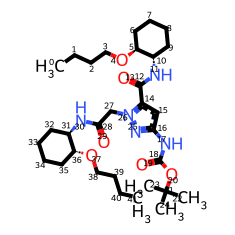 CCCCO[C@H]1CCCC[C@@H]1NC(=O)c1cc(NC(=O)OC(C)(C)C)nn1CC(=O)N[C@@H]1CCCC[C@H]1OCCCC